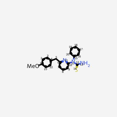 COc1ccc(Cc2cccc(N(C(N)=S)c3ccccc3)n2)cc1